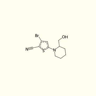 N#Cc1sc(N2CCCCC2CO)cc1Br